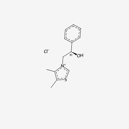 Cc1sc[n+](C[C@H](O)c2ccccc2)c1C.[Cl-]